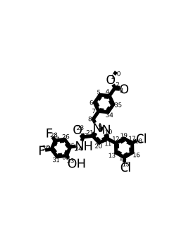 COC(=O)c1ccc(Cn2nc(-c3cc(Cl)cc(Cl)c3)cc2C(=O)Nc2cc(F)c(F)cc2O)cc1